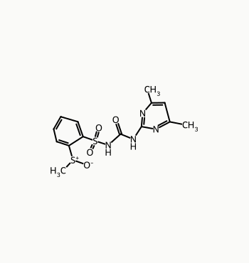 Cc1cc(C)nc(NC(=O)NS(=O)(=O)c2ccccc2[S+](C)[O-])n1